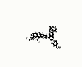 CC(C)[C@]1(F)CCc2nc3sc(C(=O)N[C@H](CCN4CCC(O)CC4)c4ccc(N5CCOCS5(=O)=O)nc4)nc3cc2C1